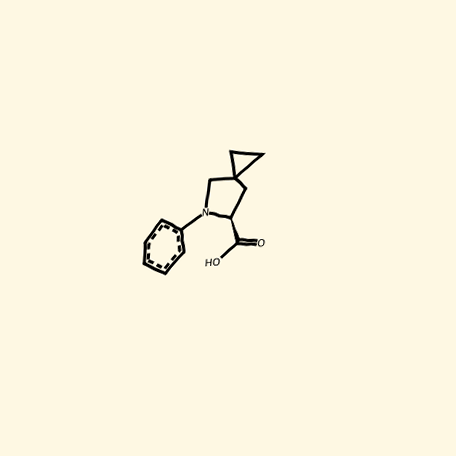 O=C(O)[C@@H]1CC2(CC2)CN1c1ccccc1